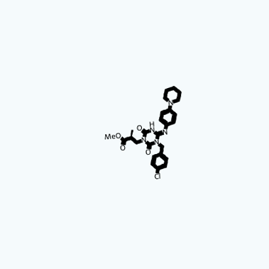 COC(=O)[C@@H](C)Cn1c(=O)[nH]/c(=N\c2ccc(N3CCCCC3)cc2)n(Cc2ccc(Cl)cc2)c1=O